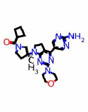 C[C@]1(N2CCc3c(-c4cnc(N)nc4)nc(N4CCOCC4)nc32)CCN(C(=O)C2CCC2)C1